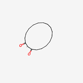 O=C1[CH]C(=O)CCCCCCCCCCCCCC1